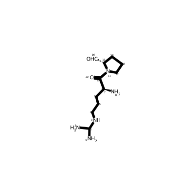 NC(N)NCCC[C@H](N)C(=O)N1CCC[C@H]1C=O